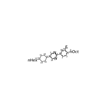 CCCCCCCCc1ccc(-c2ncc(C3CCC(CCCCCC)CC3)cn2)cc1F